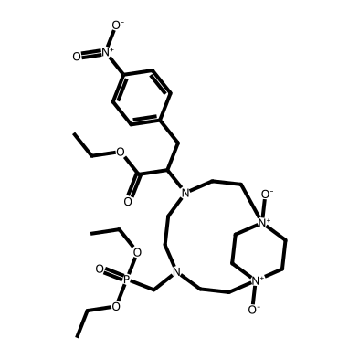 CCOC(=O)C(Cc1ccc([N+](=O)[O-])cc1)N1CCN(CP(=O)(OCC)OCC)CC[N+]2([O-])CC[N+]([O-])(CC1)CC2